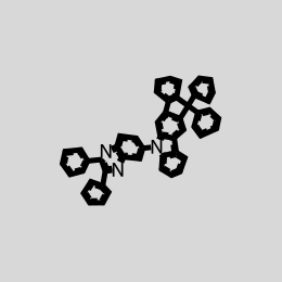 c1ccc(-c2nc3ccc(-n4c5ccccc5c5cc6c(cc54)-c4ccccc4C6(c4ccccc4)c4ccccc4)cc3nc2-c2ccccc2)cc1